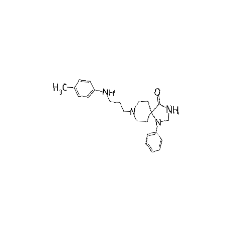 Cc1ccc(NCCCN2CCC3(CC2)C(=O)NCN3c2ccccc2)cc1